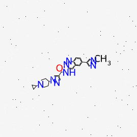 Cn1cc(-c2ccc3nnc(NC(=O)c4cnn(C5CCN(C6CC6)CC5)c4)cc3c2)cn1